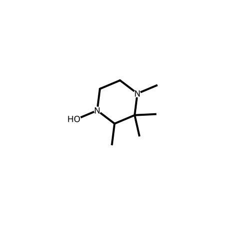 CC1N(O)CCN(C)C1(C)C